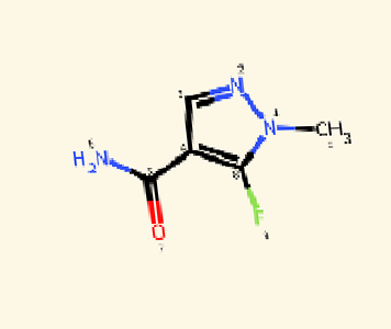 Cn1ncc(C(N)=O)c1F